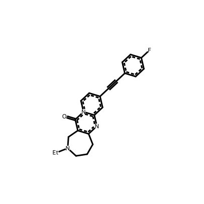 CCN1CCCc2nc3cc(C#Cc4ccc(F)cc4)ccn3c(=O)c2C1